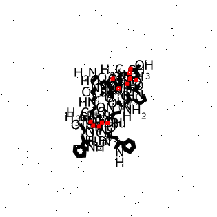 CCCC[C@@H](C(=O)N(C)[C@@H](CCCC)C(=O)N[C@@H](C)C(=O)N[C@@H](CSCC(=O)N[C@@H](Cc1ccc(O)cc1)C(=O)N(C)[C@@H](C)C(=O)N[C@@H](CCCN)C(=O)N1CCC[C@H]1C(=O)N[C@@H](Cc1cnc[nH]1)C(=O)N[C@@H](CCC(=O)O)C(=O)N1C[C@H](O)C[C@H]1C(C)=O)C(=O)NCC(N)=O)N(C)C(=O)[C@H](Cc1c[nH]c2ccccc12)NC(=O)[C@H](CO)NC(=O)[C@@H](N)Cc1c[nH]c2ccccc12